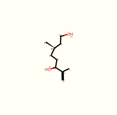 C=C(C)C(O)CC[C@@H](C)CCO